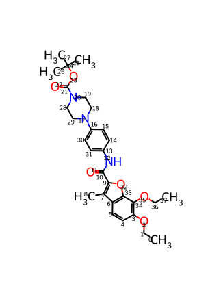 CCOc1ccc2c(C)c(C(=O)Nc3ccc(N4CCN(C(=O)OC(C)(C)C)CC4)cc3)oc2c1OCC